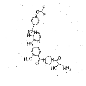 Cc1cc(Nc2nccn3c(-c4ccc(OC(F)F)cc4)cnc23)ccc1C(=O)N1CCN(C(=O)C(O)CN)CC1